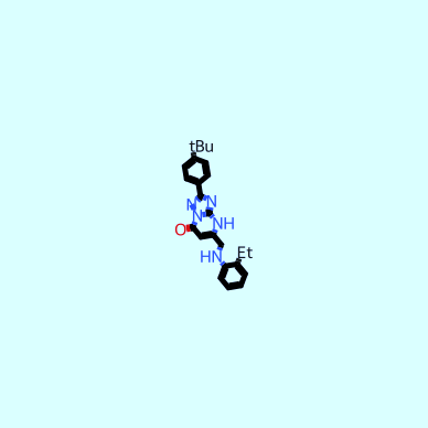 CCc1ccccc1NCc1cc(=O)n2nc(-c3ccc(C(C)(C)C)cc3)nc2[nH]1